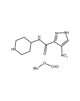 CC(C)(C)OC=O.O=C(NC1CCNCC1)c1n[nH]cc1[N+](=O)[O-]